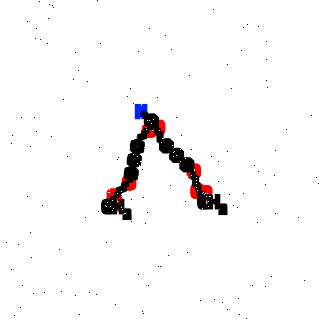 C=CC(=O)OCCCCOc1ccc(-c2ccc([C@H]3CC[C@H](CCCOc4ccc(C#N)cc4OCCC[C@H]4CC[C@H](c5ccc(-c6ccc(OCCCCOC(=O)C=C)cc6)cc5)CC4)CC3)cc2)cc1